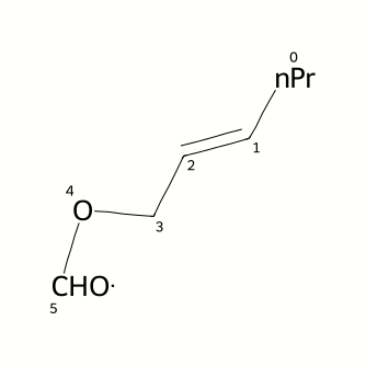 CCCC=CCO[C]=O